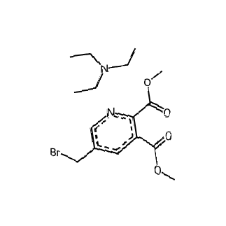 CCN(CC)CC.COC(=O)c1cc(CBr)cnc1C(=O)OC